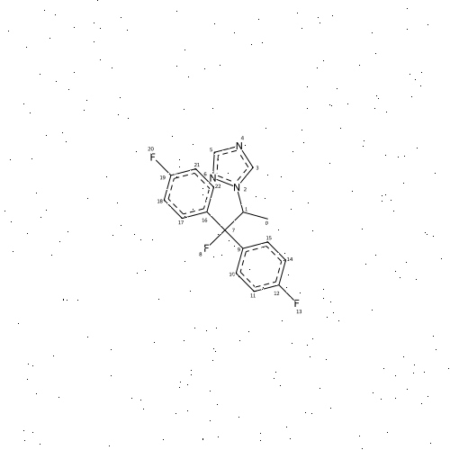 CC(n1cncn1)C(F)(c1ccc(F)cc1)c1ccc(F)cc1